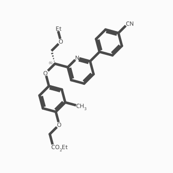 CCOC[C@@H](Oc1ccc(OCC(=O)OCC)c(C)c1)c1cccc(-c2ccc(C#N)cc2)n1